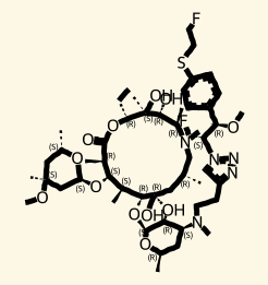 CC[C@H]1OC(=O)[C@H](C)[C@@H](O[C@H]2C[C@@](C)(OC)C[C@H](C)O2)[C@H](C)[C@@H](O[C@@H]2O[C@H](C)C[C@H](N(C)CCc3cn([C@H](CF)[C@H](OC)c4ccc(SCCF)cc4)nn3)[C@H]2O)[C@](C)(O)C[C@@H](C)CN(C)[C@H](C)[C@@H](O)[C@]1(C)O